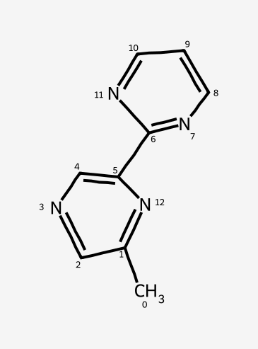 Cc1cncc(-c2ncccn2)n1